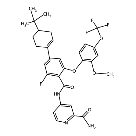 COc1cc(OC(F)(F)F)ccc1Oc1cc(C2=CCC(C(C)(C)C)CC2)cc(F)c1C(=O)Nc1ccnc(C(N)=O)c1